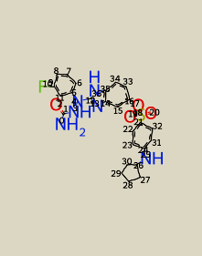 NC(=O)NN(c1cccc(F)c1)c1nc2cc(OS(=O)(=O)c3ccc(NC4CCCC4)cc3)ccc2[nH]1